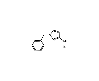 CC(C)Nc1ncn(Cc2ccccc2)n1